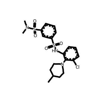 CC1CCN(c2c(Cl)cccc2NS(=O)(=O)c2cccc(S(=O)(=O)N(C)C)c2)CC1